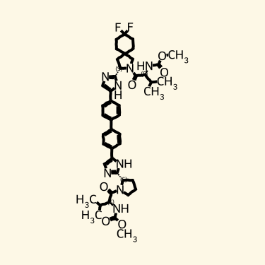 COC(=O)N[C@H](C(=O)N1CCC[C@H]1c1ncc(-c2ccc(-c3ccc(-c4cnc([C@@H]5CC6(CCC(F)(F)CC6)CN5C(=O)[C@@H](NC(=O)OC)C(C)C)[nH]4)cc3)cc2)[nH]1)C(C)C